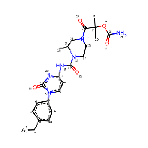 CC(=O)Cc1ccc(-n2ccc(NC(=O)N3CCN(C(=O)C(C)(C)OC(N)=O)CC3C)nc2=O)cc1